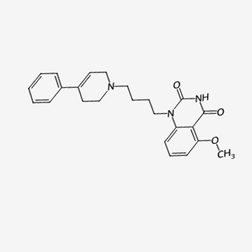 COc1cccc2c1c(=O)[nH]c(=O)n2CCCCN1CC=C(c2ccccc2)CC1